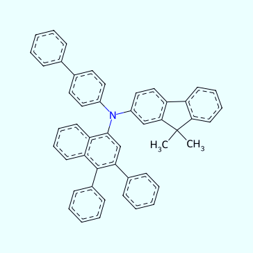 CC1(C)c2ccccc2-c2ccc(N(c3ccc(-c4ccccc4)cc3)c3cc(-c4ccccc4)c(-c4ccccc4)c4ccccc34)cc21